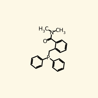 CN(C)C(=O)c1ccccc1CP(c1ccccc1)c1ccccc1